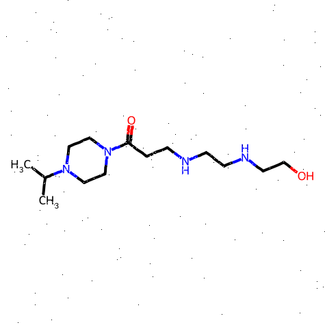 CC(C)N1CCN(C(=O)CCNCCNCCO)CC1